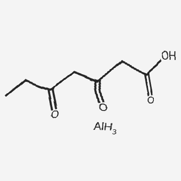 CCC(=O)CC(=O)CC(=O)O.[AlH3]